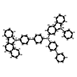 c1ccc(-c2ccc(N(c3ccc(-c4ccc(-n5c6ccccc6c6ccc7ccccc7c65)cc4)cc3)c3ccc4c5ccccc5n(-c5ccccc5)c4c3)cc2)cc1